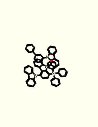 c1ccc(-c2cccc(-n3c4ccccc4c4cccc(-n5c6ccccc6c6c(-n7c8ccccc8c8ccccc87)ccc([Si](c7ccccc7)(c7ccccc7)c7ccccc7)c65)c43)c2)cc1